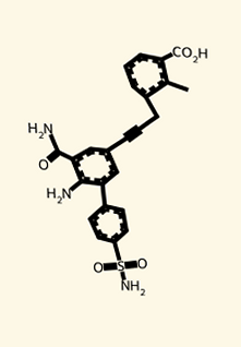 Cc1c(CC#Cc2cc(C(N)=O)c(N)c(-c3ccc(S(N)(=O)=O)cc3)c2)cccc1C(=O)O